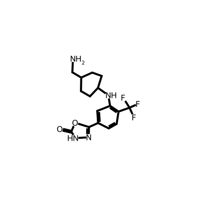 NCC1CCC(Nc2cc(-c3n[nH]c(=O)o3)ccc2C(F)(F)F)CC1